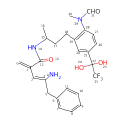 C=C(/C=C(\N)Cc1ccccc1)C(=O)NC(C)CCc1cc(C(O)(O)C(F)(F)F)ccc1N(C)C=O